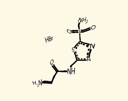 Br.NCC(=O)Nc1nnc(S(N)(=O)=O)s1